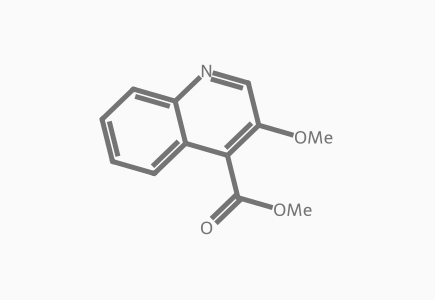 COC(=O)c1c(OC)cnc2ccccc12